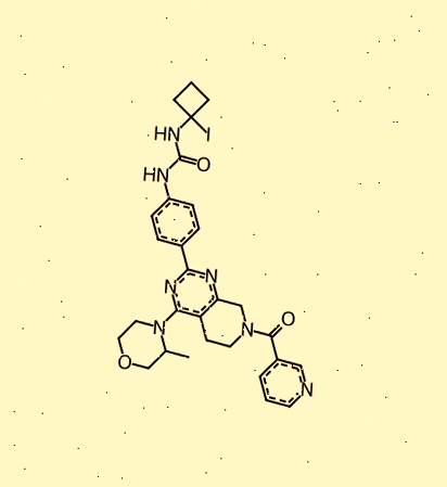 CC1COCCN1c1nc(-c2ccc(NC(=O)NC3(I)CCC3)cc2)nc2c1CCN(C(=O)c1cccnc1)C2